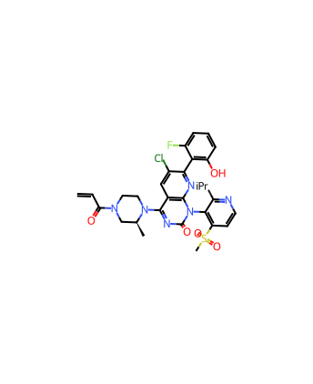 C=CC(=O)N1CCN(c2nc(=O)n(-c3c(S(C)(=O)=O)ccnc3C(C)C)c3nc(-c4c(O)cccc4F)c(Cl)cc23)[C@@H](C)C1